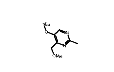 CCCCOc1cnc(C)nc1COC